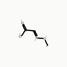 CO/N=C/C(=O)Cl